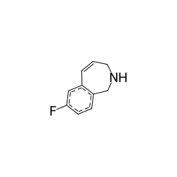 Fc1ccc2c(c1)C=CCNC2